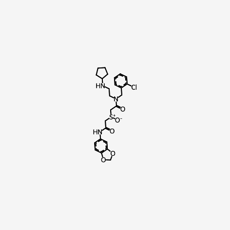 O=C(C[S+]([O-])CC(=O)N(CCNC1CCCC1)Cc1ccccc1Cl)Nc1ccc2c(c1)OCO2